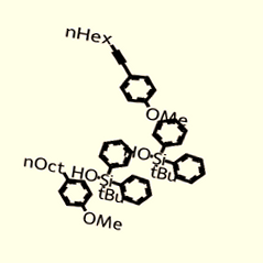 CC(C)(C)[Si](O)(c1ccccc1)c1ccccc1.CC(C)(C)[Si](O)(c1ccccc1)c1ccccc1.CCCCCCC#Cc1ccc(OC)cc1.CCCCCCCCc1ccc(OC)cc1